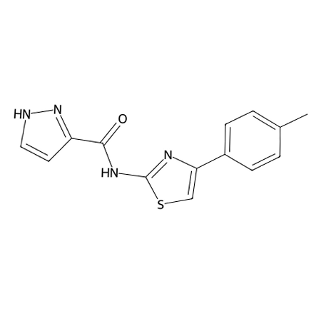 Cc1ccc(-c2csc(NC(=O)c3cc[nH]n3)n2)cc1